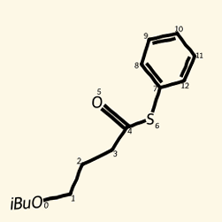 CC(C)COCCCC(=O)Sc1ccccc1